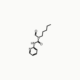 CCCCCN([C]=O)C(=O)Nc1ccccn1